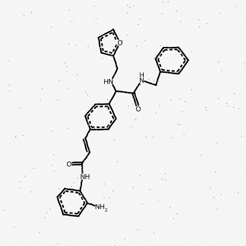 Nc1ccccc1NC(=O)C=Cc1ccc(C(NCc2ccco2)C(=O)NCc2ccccc2)cc1